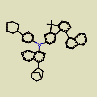 CC1(C)c2cc(N(c3ccc(C4CCCCC4)cc3)c3ccc(C4CC5CCC4C5)c4ccccc34)ccc2-c2c(-c3cccc4ccccc34)cccc21